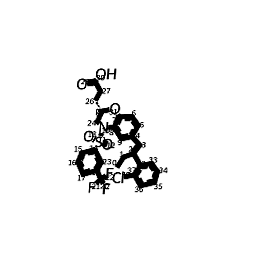 CCC(=Cc1ccc2c(c1)N(S(=O)(=O)c1cccc(C(F)(F)F)c1)C[C@H](CCC(=O)O)O2)c1ccccc1Cl